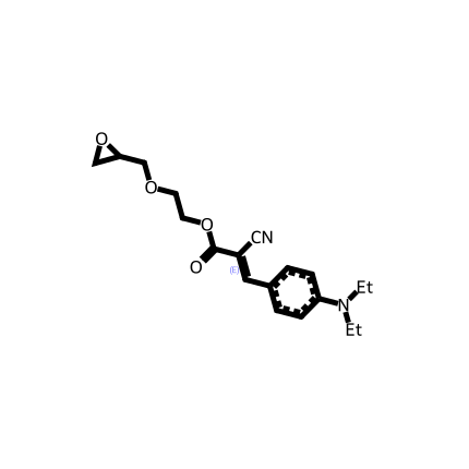 CCN(CC)c1ccc(/C=C(\C#N)C(=O)OCCOCC2CO2)cc1